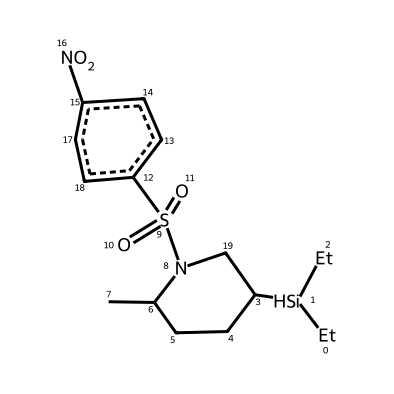 CC[SiH](CC)C1CCC(C)N(S(=O)(=O)c2ccc([N+](=O)[O-])cc2)C1